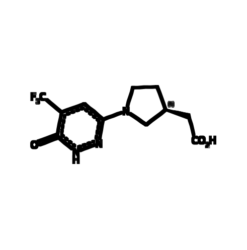 O=C(O)C[C@@H]1CCN(c2cc(C(F)(F)F)c(=O)[nH]n2)C1